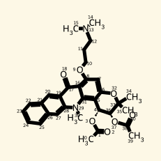 CC(=O)O[C@@H]1c2c(cc(OCCCN(C)C)c3c(=O)c4cc5ccccc5cc4n(C)c23)OC(C)(C)[C@@H]1OC(C)=O